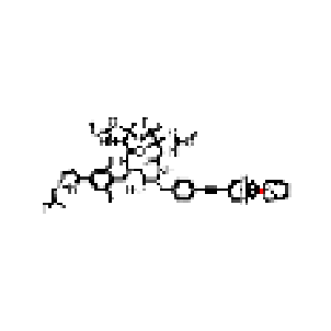 COC(=O)N[C@H](C(=O)NN(Cc1c(F)cc(-c2ccn(CC(F)F)n2)cc1F)C[C@H](O)[C@H](Cc1ccc(C#Cc2cnc(N3CC4CCC(C3)N4C3COC3)nc2)cc1)NC(=O)[C@@H](NC(=O)OC)C(C)(C)C(F)(F)F)C(C)(C)C